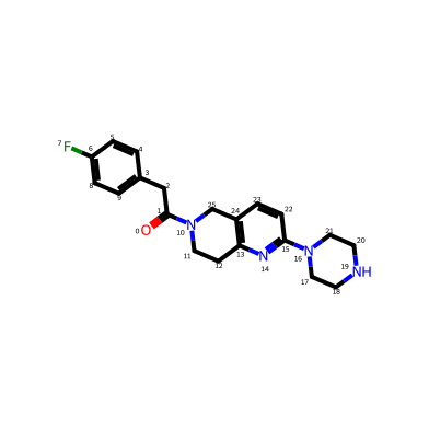 O=C(Cc1ccc(F)cc1)N1CCc2nc(N3CCNCC3)ccc2C1